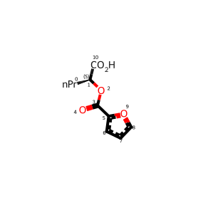 CCC[C@H](OC(=O)c1ccco1)C(=O)O